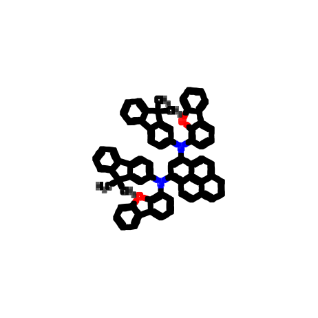 CC1(C)c2ccccc2-c2ccc(N(c3cc(N(c4ccc5c(c4)C(C)(C)c4ccccc4-5)c4cccc5c4oc4ccccc45)c4ccc5cccc6ccc3c4c65)c3cccc4c3oc3ccccc34)cc21